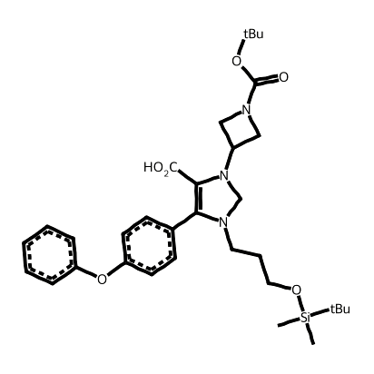 CC(C)(C)OC(=O)N1CC(N2CN(CCCO[Si](C)(C)C(C)(C)C)C(c3ccc(Oc4ccccc4)cc3)=C2C(=O)O)C1